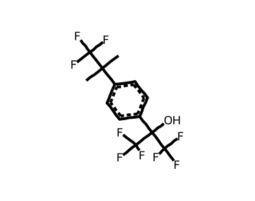 CC(C)(c1ccc(C(O)(C(F)(F)F)C(F)(F)F)cc1)C(F)(F)F